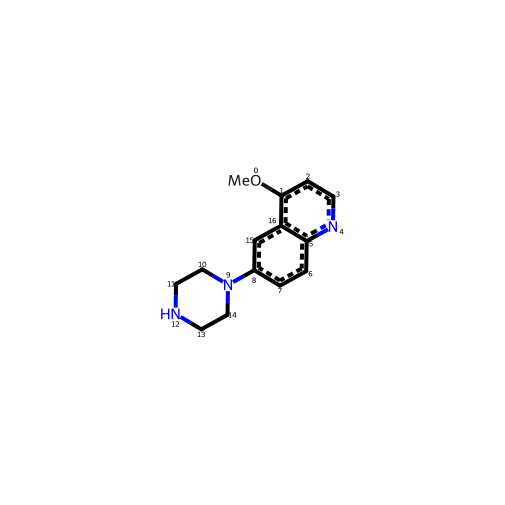 COc1ccnc2ccc(N3CCNCC3)cc12